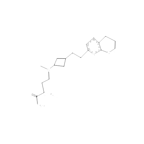 COC(=O)[C@@H](N)CCN(C)C1CC(CCc2ccc3c(n2)NCCC3)C1